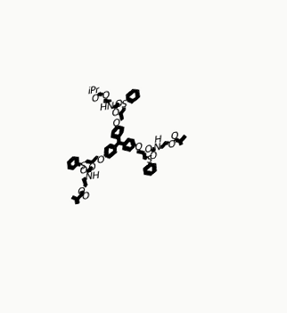 C=C(C)C(=O)OCCNC(=O)OC(COc1ccc(C(c2ccc(OCC(CSc3ccccc3)OC(=O)NCCOC(=O)C(=C)C)cc2)c2ccc(OCC(CSc3ccccc3)OC(=O)NCCOC(=O)C(C)C)cc2)cc1)CSc1ccccc1